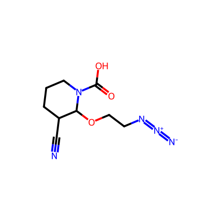 N#CC1CCCN(C(=O)O)C1OCCN=[N+]=[N-]